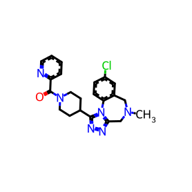 CN1Cc2cc(Cl)ccc2-n2c(nnc2C2CCN(C(=O)c3ccccn3)CC2)C1